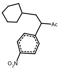 CC(=O)C(CC1CCCCC1)c1ccc([N+](=O)[O-])cc1